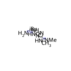 CCC(C)C(=C/N)/C=C(\N)Nc1ccc2ncc(/C(=C/NC)C(C)=N)cc2n1